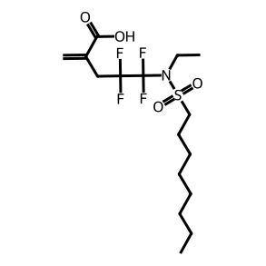 C=C(CC(F)(F)C(F)(F)N(CC)S(=O)(=O)CCCCCCCC)C(=O)O